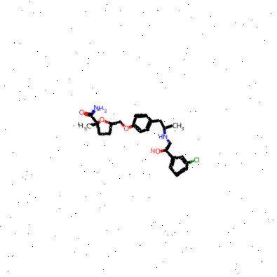 CC(Cc1ccc(OCC2CCC(C)(C(N)=O)O2)cc1)NCC(O)c1cccc(Cl)c1